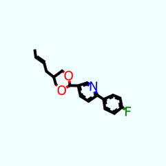 C/C=C/CC1COC(c2ccc(-c3ccc(F)cc3)nc2)OC1